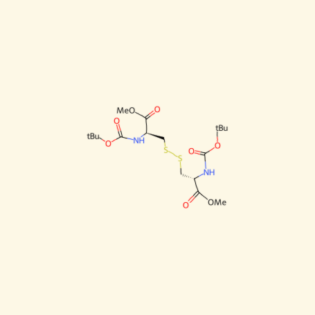 COC(=O)[C@H](CSSC[C@@H](NC(=O)OC(C)(C)C)C(=O)OC)NC(=O)OC(C)(C)C